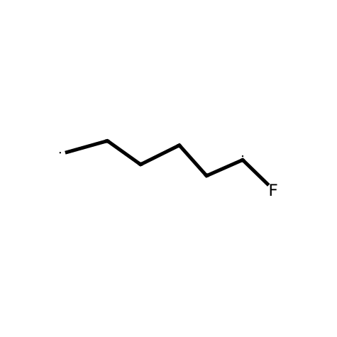 [CH2]CCCC[CH]F